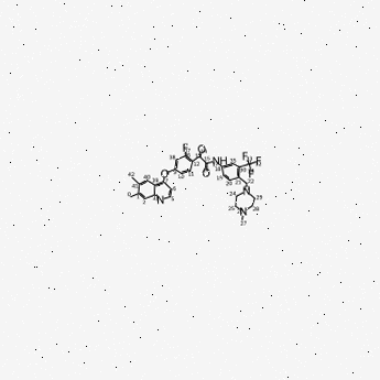 Cc1cc2nccc(Oc3ccc(C(=O)C(=O)Nc4ccc(CN5CCN(C)CC5)c(C(F)(F)F)c4)c(F)c3)c2cc1C